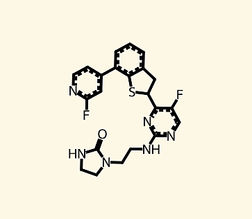 O=C1NCCN1CCNc1ncc(F)c(C2Cc3cccc(-c4ccnc(F)c4)c3S2)n1